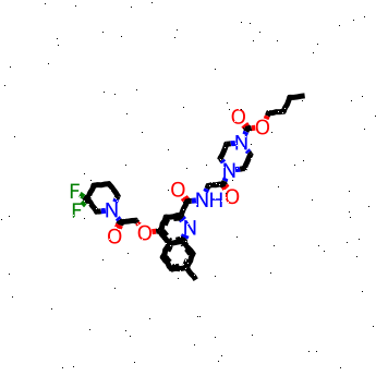 CCCCOC(=O)N1CCN(C(=O)CNC(=O)c2cc(OCC(=O)N3CCCC(F)(F)C3)c3ccc(C)cc3n2)CC1